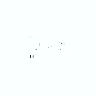 NCc1cn(C(=O)c2cccc(N(O)O)c2)c2ccccc12